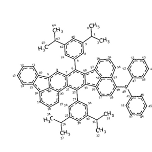 CC(C)c1cc(-c2c3cc4c5ccccc5c5cccc(c3c(-c3cc(C(C)C)cc(C(C)C)c3)c3c6ccc(P(c7ccccc7)c7ccccc7)c7cccc(c23)c76)c54)cc(C(C)C)c1